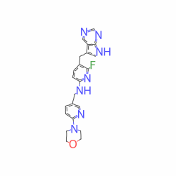 Fc1nc(NCc2ccc(N3CCOCC3)nc2)ccc1Cc1c[nH]c2ncncc12